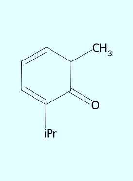 CC(C)C1=CC=CC(C)C1=O